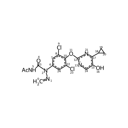 C=NN(C(=O)NC(C)=O)c1cc(Cl)c(Oc2ncc(O)c(C3CC3)n2)c(Cl)c1